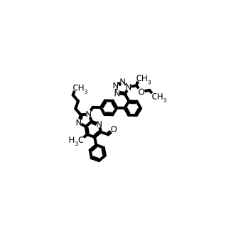 CCCCc1nc2c(C)c(-c3ccccc3)c(C=O)nc2n1Cc1ccc(-c2ccccc2-c2nnnn2C(C)OCC)cc1